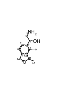 Cc1c(C(O)CN)ccc2c1C(C)OC2